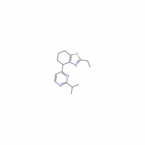 CCc1nc2c(s1)CCCC2c1ccnc(C(C)C)n1